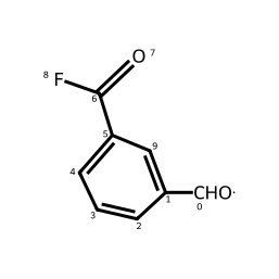 O=[C]c1cccc(C(=O)F)c1